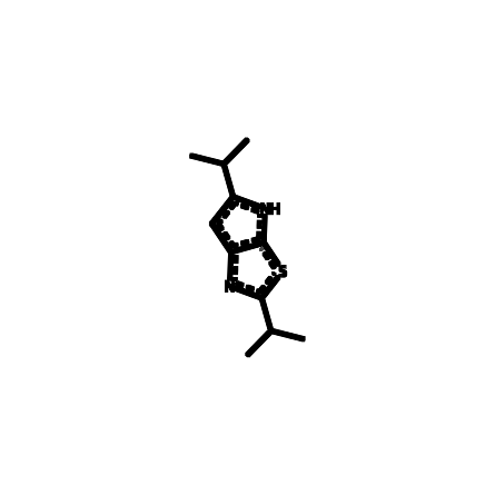 CC(C)c1cc2nc(C(C)C)sc2[nH]1